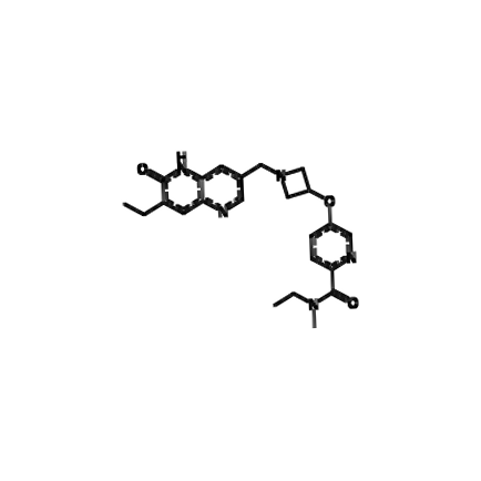 CCc1cc2ncc(CN3CC(Oc4ccc(C(=O)N(C)CC)nc4)C3)cc2[nH]c1=O